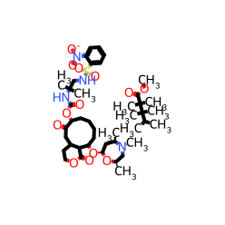 COC(=O)C(C)(C)C(C)(C)C(C)C.C[C@@H]1C[C@H](OC2CCCCC(OC(=O)NC(C)(C)CNS(=O)(=O)c3ccccc3[N+](=O)[O-])C(=O)CC3CCOC(=O)C32)O[C@@H](C)CN1C